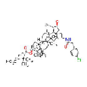 CC(C)C1=C2[C@H]3CC[C@@H]4[C@@]5(C)CC[C@H](OC(=O)[C@H]6C[C@@H](C(=O)O)C6(C)C)C(C)(C)[C@@H]5CC[C@@]4(C)[C@]3(C)CC[C@@]2(CCNC(=O)Cc2ccc(Cl)cc2)CC1=O